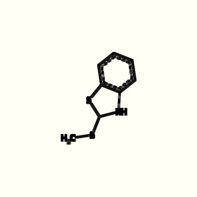 CSC1Nc2ccccc2S1